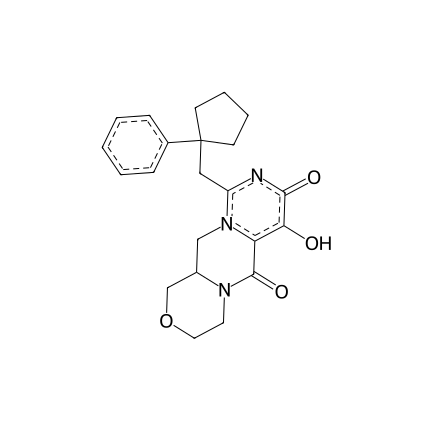 O=C1c2c(O)c(=O)nc(CC3(c4ccccc4)CCCC3)n2CC2COCCN12